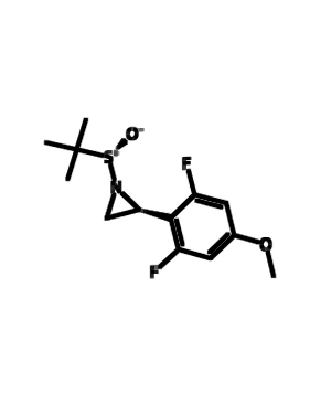 COc1cc(F)c([C@H]2CN2[S@+]([O-])C(C)(C)C)c(F)c1